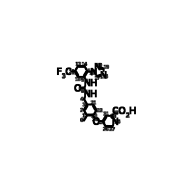 Cc1cc(CNC(=O)Nc2cc(C(F)(F)F)ccc2-n2cncn2)ccc1Oc1ccnc(C(=O)O)c1